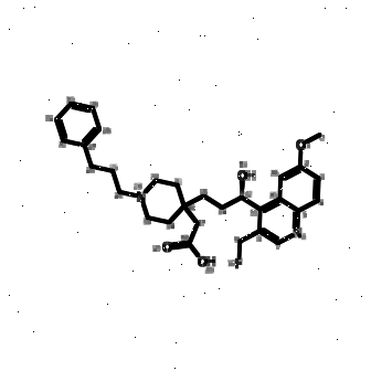 COc1ccc2ncc(CF)c([C@H](O)CCC3(CC(=O)O)CCN(CCCc4ccccc4)CC3)c2c1